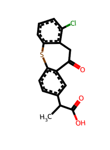 CC(C(=O)O)c1ccc2c(c1)C(=O)Cc1c(Cl)cccc1S2